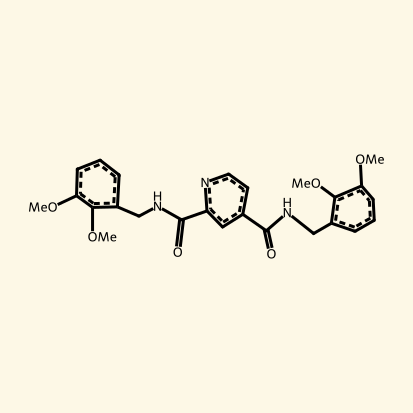 COc1cccc(CNC(=O)c2ccnc(C(=O)NCc3cccc(OC)c3OC)c2)c1OC